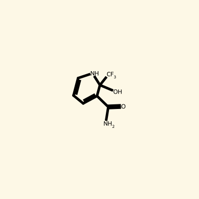 NC(=O)C1=CC=CNC1(O)C(F)(F)F